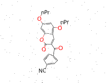 CCCOc1cc(OCCC)c2cc(C(=O)c3ccc(C#N)cc3)c(=O)oc2c1